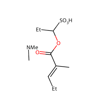 CC/C=C(\C)C(=O)OC(CC)S(=O)(=O)O.CNC